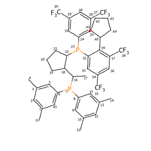 Cc1cc(C)cc(P(c2cc(C)cc(C)c2)C(C)C2CCCC2P(c2cc(C(F)(F)F)cc(C(F)(F)F)c2)c2cc(C(F)(F)F)cc(C(F)(F)F)c2C2CCCC2)c1